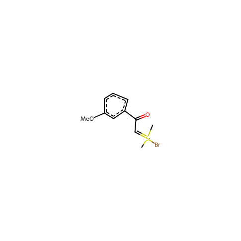 COc1cccc(C(=O)C=[S](C)(C)Br)c1